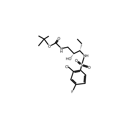 CC[C@H](NS(=O)(=O)c1ccc(F)cc1Cl)[C@H](O)CNC(=O)OC(C)(C)C